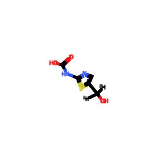 [2H]C([2H])(O)c1cnc(NC(=O)O)s1